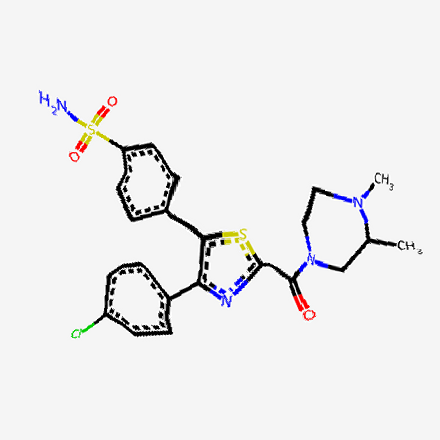 CC1CN(C(=O)c2nc(-c3ccc(Cl)cc3)c(-c3ccc(S(N)(=O)=O)cc3)s2)CCN1C